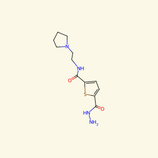 NNC(=O)c1ccc(C(=O)NCCN2CCCC2)s1